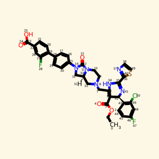 CCOC(=O)C1=C(CN2CCN3C(=O)N(c4ccc(-c5ccc(C(=O)O)cc5F)cc4)C[C@@H]3C2)NC(c2nccs2)=N[C@H]1c1ccc(F)cc1Cl